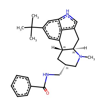 CN1C[C@H](CNC(=O)c2ccccc2)C[C@@H]2c3cc(C(C)(C)C)cc4[nH]cc(c34)C[C@H]21